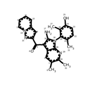 Cc1cc2c(C(=O)c3cc4ccccn4n3)c(N)n(-c3c(C)ccc(O)c3C)c2nc1C